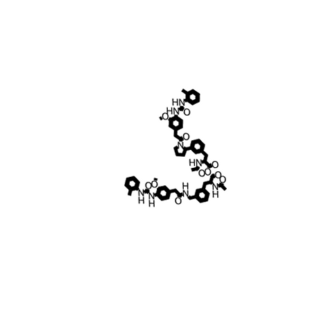 COc1cc(CC(=O)NCc2cccc(CC(NC(C)=O)C(=O)OC(=O)C(Cc3cccc(C4CCCN4C(=O)Cc4ccc(NC(=O)Nc5ccccc5C)c(OC)c4)c3)NC(C)=O)c2)ccc1NC(=O)Nc1ccccc1C